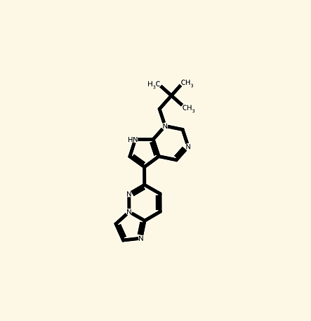 CC(C)(C)CN1CN=Cc2c(-c3ccc4nccn4n3)c[nH]c21